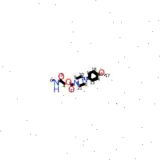 CNC(=O)COC(=O)N1CCN(c2ccc(OC)cc2)CC1